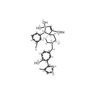 COC1=CS(O)(O)N(c2cccc(F)c2)[C@@]12CCN(Cc1ccc(O)c(-c3nscc3C)c1)[C@@H](C)C2